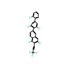 Fc1ccccc1-c1cc(F)c(-c2ccc3c(F)c(C#CC(F)(F)F)c(F)cc3c2)c(F)c1